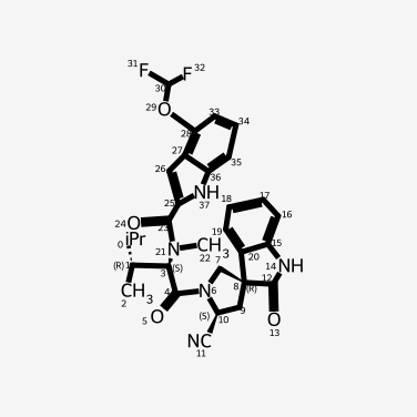 CC(C)[C@@H](C)[C@@H](C(=O)N1C[C@]2(C[C@H]1C#N)C(=O)Nc1ccccc12)N(C)C(=O)c1cc2c(OC(F)F)cccc2[nH]1